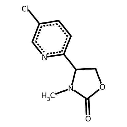 CN1C(=O)OCC1c1ccc(Cl)cn1